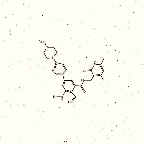 Cc1cc(C)c(CNC(=O)c2cc(-c3ccc(N4CCN(N)CC4)nc3)cc(NC(C)C)c2C=N)c(=O)[nH]1